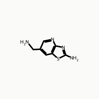 NCc1cnc2nc(N)sc2c1